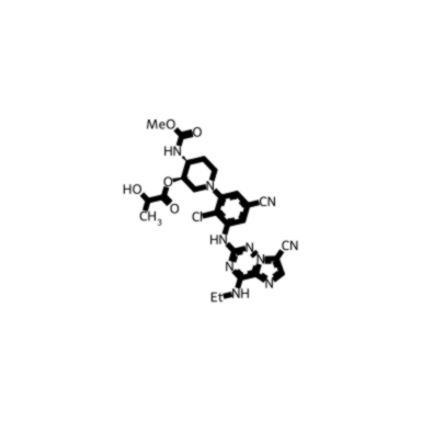 CCNc1nc(Nc2cc(C#N)cc(N3CC[C@@H](NC(=O)OC)[C@H](OC(=O)C(C)O)C3)c2Cl)nn2c(C#N)cnc12